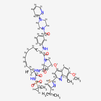 COc1ccc2c(O[C@@H]3C[C@H]4C(=O)N[C@]5(C(=O)NS(=O)(=O)C6(C)CC6)C[C@H]5/C=C\CCCCC[C@H](Nc5cccc(C(=O)N6CCN(c7ccccn7)CC6)c5)C(=O)N4C3)cc(-c3nc(C(C)C)cs3)nc2c1C